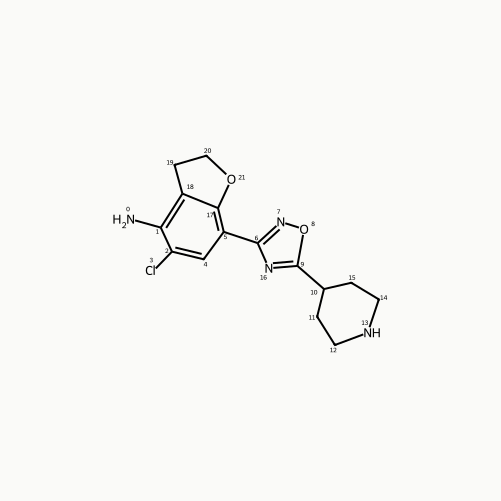 Nc1c(Cl)cc(-c2noc(C3CCNCC3)n2)c2c1CCO2